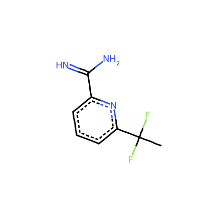 CC(F)(F)c1cccc(C(=N)N)n1